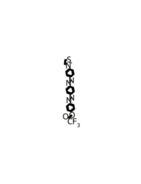 O=C(Oc1ccc(N=Nc2ccc(N=Nc3ccc(N4CCSC4)cc3)cc2)cc1)C(F)(F)F